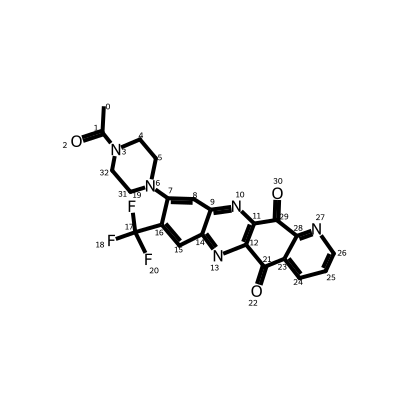 CC(=O)N1CCN(c2cc3nc4c(nc3cc2C(F)(F)F)C(=O)c2cccnc2C4=O)CC1